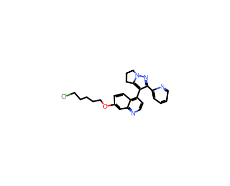 ClCCCCCOc1ccc2c(-c3c(-c4ccccn4)nn4c3CCC4)ccnc2c1